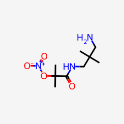 CC(C)(CN)CNC(=O)C(C)(C)O[N+](=O)[O-]